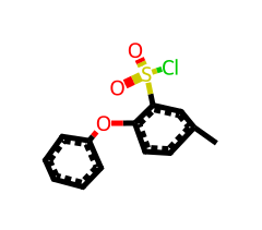 Cc1ccc(Oc2ccccc2)c(S(=O)(=O)Cl)c1